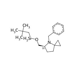 CC(C)(C)C[SiH2]OC[C@@H]1CCC2(CC2)N1Cc1ccccc1